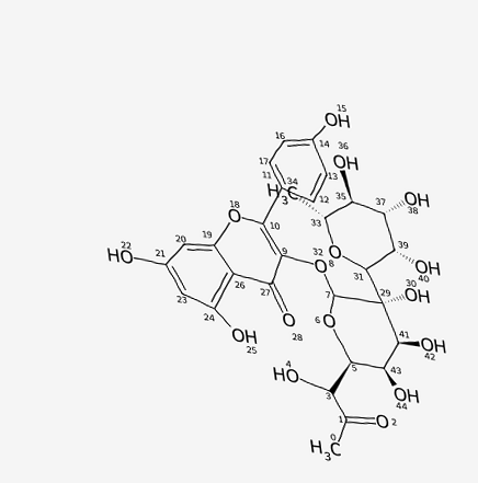 CC(=O)C(O)[C@H]1OC(Oc2c(-c3ccc(O)cc3)oc3cc(O)cc(O)c3c2=O)[C@@](O)(C2O[C@H](C)[C@@H](O)[C@H](O)[C@@H]2O)[C@@H](O)[C@H]1O